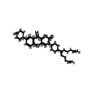 NCCCN(CCCN)C1CCC(n2cc3c(nc2=O)Nc2cc(C4CCNCC4)ccc2O3)CC1